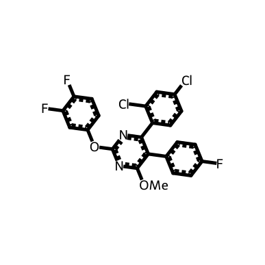 COc1nc(Oc2ccc(F)c(F)c2)nc(-c2ccc(Cl)cc2Cl)c1-c1ccc(F)cc1